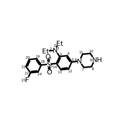 CCN(CC)c1cc(N2CCNCC2)ccc1S(=O)(=O)c1cccc(F)c1